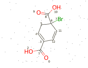 O=C(O)C1=CCC(Br)(C(=O)O)C=C1